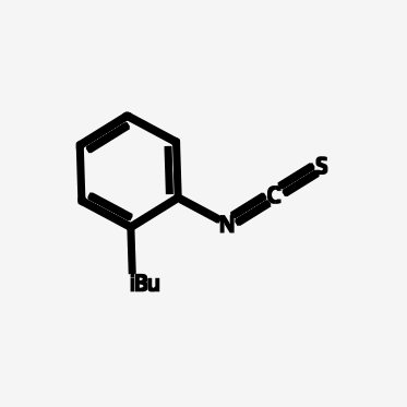 CCC(C)c1ccccc1N=C=S